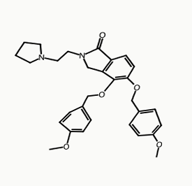 COc1ccc(COc2ccc3c(c2OCc2ccc(OC)cc2)CN(CCN2CCCC2)C3=O)cc1